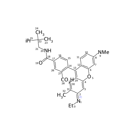 CC/N=c1/cc2oc3cc(NC)ccc3c(-c3ccc(C(=O)NCC(C)(C)C(C)C)cc3C(=O)O)c-2cc1C